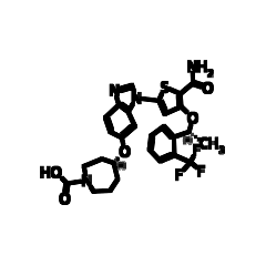 C[C@@H](Oc1cc(-n2cnc3ccc(O[C@@H]4CCCN(C(=O)O)CC4)cc32)sc1C(N)=O)c1ccccc1C(F)(F)F